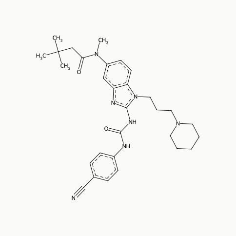 CN(C(=O)CC(C)(C)C)c1ccc2c(c1)nc(NC(=O)Nc1ccc(C#N)cc1)n2CCCN1CCCCC1